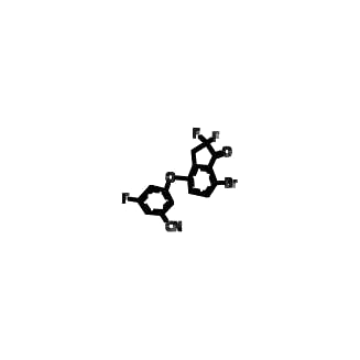 N#Cc1cc(F)cc(Oc2ccc(Br)c3c2CC(F)(F)C3=O)c1